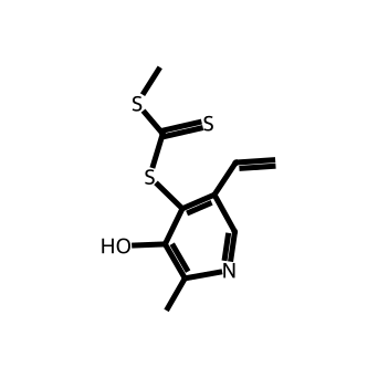 C=Cc1cnc(C)c(O)c1SC(=S)SC